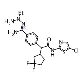 CCN(N)/N=C(\N)c1ccc(C(C(=O)Nc2ncc(Cl)s2)C2CCC(F)(F)C2)cc1